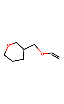 C=COCC1CCCOC1